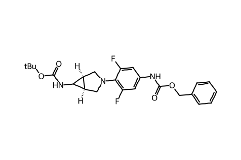 CC(C)(C)OC(=O)NC1[C@H]2CN(c3c(F)cc(NC(=O)OCc4ccccc4)cc3F)C[C@@H]12